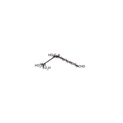 O=CCCOCCOCCOCCOCCOCCOCCOCCOCCNC(=O)CC[C@H](NC(=O)CCCCCCCCCCCCCCC(=O)N[C@@H](CCC(=O)O)C(=O)O)C(=O)O